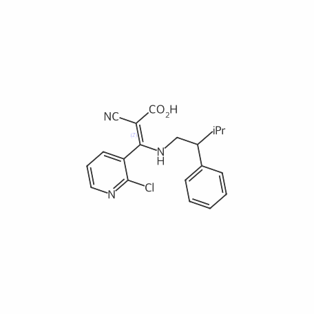 CC(C)C(CN/C(=C(/C#N)C(=O)O)c1cccnc1Cl)c1ccccc1